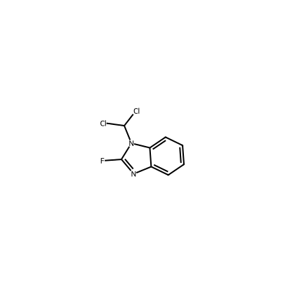 Fc1nc2ccccc2n1C(Cl)Cl